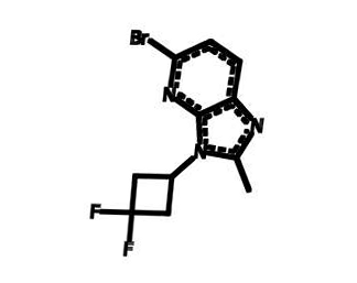 Cc1nc2ccc(Br)nc2n1C1CC(F)(F)C1